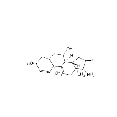 C[C@]12CC=C3[C@@H]([C@@H](O)CC4C[C@@H](O)C=C[C@]34C)[C@@H]1C[C@@H](F)[C@@H]2N